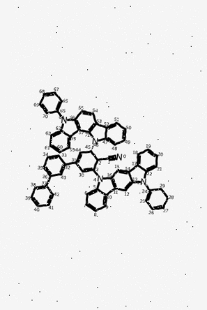 N#CC1C(n2c3ccccc3c3cc4c(cc32)c2ccccc2n4C2=CC=CCC2)=CC(c2cccc(-c3ccccc3)c2)=C[C@@H]1n1c2ccccc2c2ccc3c(c4ccccc4n3-c3ccccc3)c21